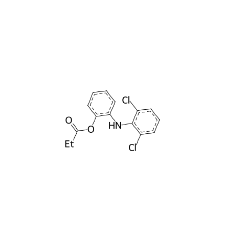 CCC(=O)Oc1ccccc1Nc1c(Cl)cccc1Cl